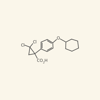 O=C(O)C1(c2ccc(OC3CCCCC3)cc2)CC1(Cl)Cl